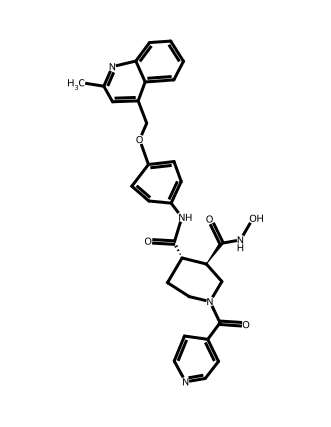 Cc1cc(COc2ccc(NC(=O)[C@H]3CCN(C(=O)c4ccncc4)C[C@@H]3C(=O)NO)cc2)c2ccccc2n1